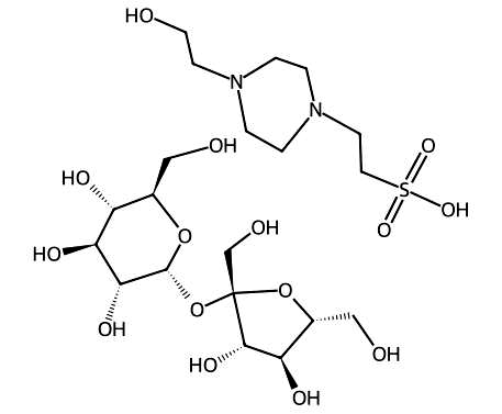 O=S(=O)(O)CCN1CCN(CCO)CC1.OC[C@H]1O[C@@](CO)(O[C@H]2O[C@H](CO)[C@@H](O)[C@H](O)[C@H]2O)[C@@H](O)[C@@H]1O